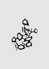 C1=CC(c2nc(-c3ccccc3)nc(-c3ccc(-c4cccc5sc6ccccc6c45)cc3-c3cccc4c3sc3ccccc34)n2)=CCC1